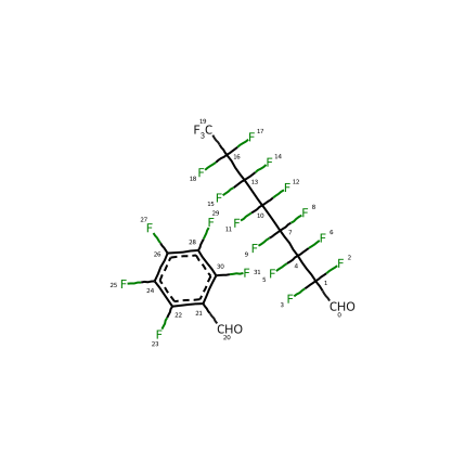 O=CC(F)(F)C(F)(F)C(F)(F)C(F)(F)C(F)(F)C(F)(F)C(F)(F)F.O=Cc1c(F)c(F)c(F)c(F)c1F